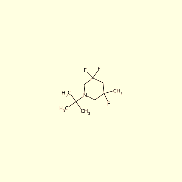 CC1(F)CN(C(C)(C)C)CC(F)(F)C1